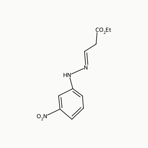 CCOC(=O)CC=NNc1cccc([N+](=O)[O-])c1